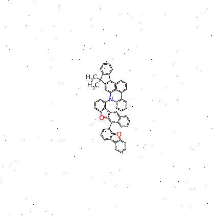 CC1(C)c2ccccc2-c2ccc(N(c3ccccc3-c3ccccc3)c3cccc4oc5c(-c6cccc7c6oc6ccccc67)c6ccccc6cc5c34)cc21